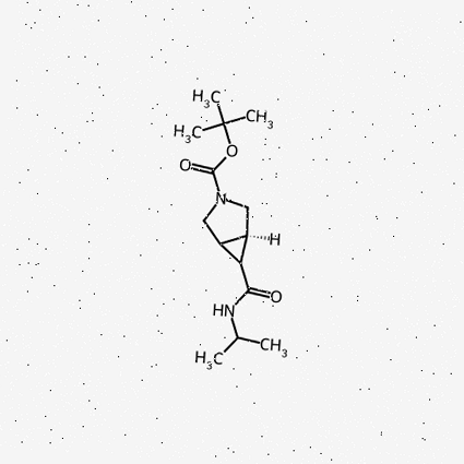 CC(C)NC(=O)C1C2CN(C(=O)OC(C)(C)C)C[C@H]21